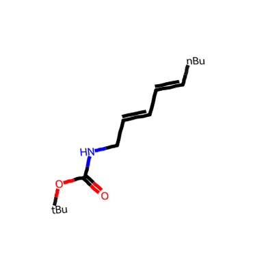 CCCC/C=C/C=C/CNC(=O)OC(C)(C)C